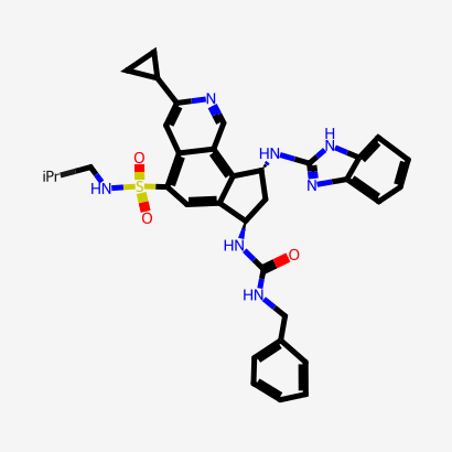 CC(C)CNS(=O)(=O)c1cc2c(c3cnc(C4CC4)cc13)[C@H](Nc1nc3ccccc3[nH]1)C[C@H]2NC(=O)NCc1ccccc1